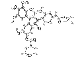 COC(=O)c1c(-c2cc(OC)c(OC)c(OC)c2)c2cc(OC)c(OC(=O)N3CCOCC3)cc2c(=O)n1-c1ccc(NC(=O)OC(C)(C)C)cc1